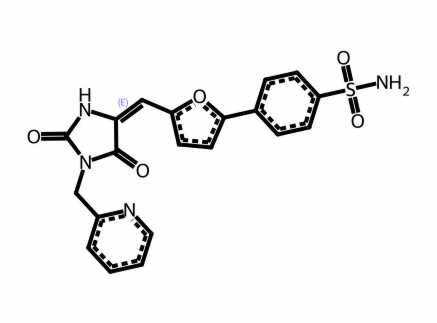 NS(=O)(=O)c1ccc(-c2ccc(/C=C3/NC(=O)N(Cc4ccccn4)C3=O)o2)cc1